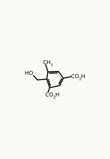 Cc1cc(C(=O)O)cc(C(=O)O)c1CO